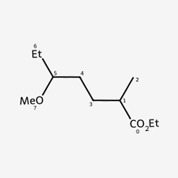 CCOC(=O)C(C)CCC(CC)OC